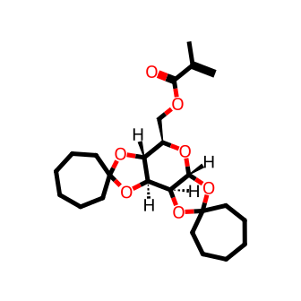 C=C(C)C(=O)OC[C@H]1O[C@@H]2OC3(CCCCCC3)O[C@H]2[C@H]2OC3(CCCCCC3)O[C@@H]21